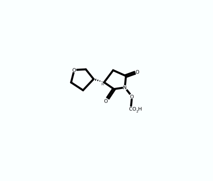 O=C(O)ON1C(=O)C[C@@H](C2CCOC2)C1=O